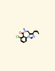 C/C=C\c1ncn2c1CN(C)C(=O)c1c(Cl)cccc1-2